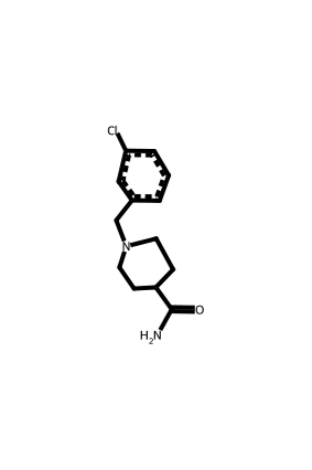 NC(=O)C1CCN(Cc2cccc(Cl)c2)CC1